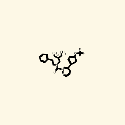 CCC(CC)CN(CCc1ccccc1)C(=O)N1C=C(c2ccc(OC(F)(F)F)cc2)CC=C=N1